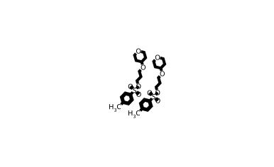 Cc1ccc(S(=O)(=O)OCCCOC2CCOCC2)cc1.Cc1ccc(S(=O)(=O)OCCCOC2CCOCC2)cc1